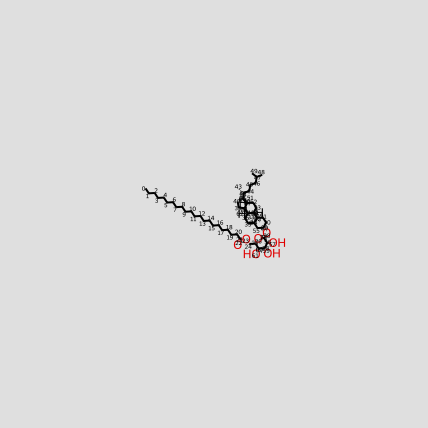 CCCCCCCCCCCCCCCCCCCCCC(=O)OCC1O[C@@H](O[C@H]2CC[C@@]3(C)C(=CC[C@H]4[C@@H]5CC[C@H]([C@H](C)CCCC(C)C)[C@@]5(C)CC[C@@H]43)C2)C(O)C(O)[C@@H]1O